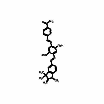 C=C1N(C)c2ccc(N=Nc3cc(OC)c(N=Nc4ccc(C(N)=O)cc4)cc3OC)cc2C1(C)C